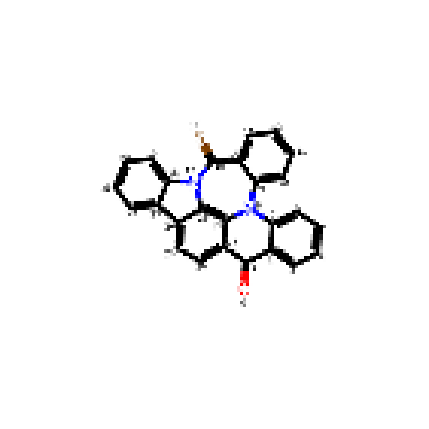 O=c1c2ccccc2n2c3ccccc3c(=S)n3c4ccccc4c4ccc1c2c43